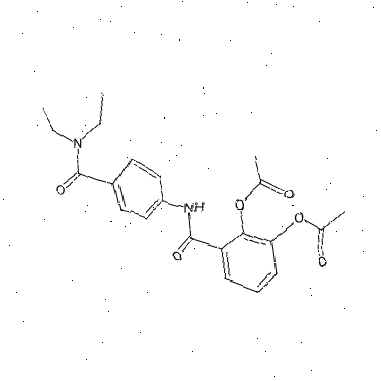 CCN(CC)C(=O)c1ccc(NC(=O)c2cccc(OC(C)=O)c2OC(C)=O)cc1